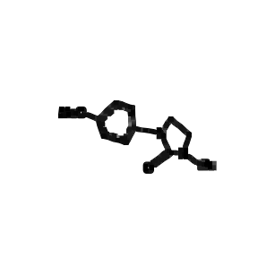 COc1ccc(N2CCN(C(C)(C)C)C2=O)cc1